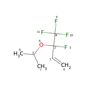 C=CC(F)(OC(C)C)C(F)(F)F